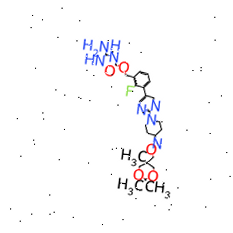 CC1(CON=C2CCN(c3ncc(-c4cccc(COC(=O)NC(=N)N)c4F)cn3)CC2)COC(C)(C)OC1